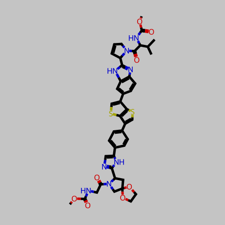 COC(=O)NCC(=O)N1CC2(CC1c1ncc(-c3ccc(-c4csc5c(-c6ccc7nc(C8C=CCN8C(=O)C(NC(=O)OC)C(C)C)[nH]c7c6)csc45)cc3)[nH]1)OCCO2